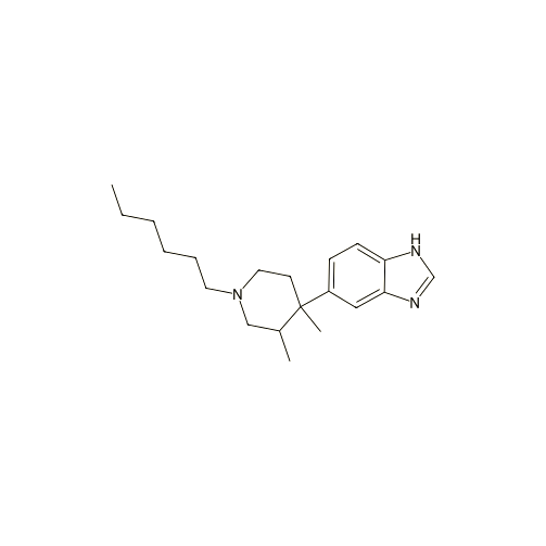 CCCCCCN1CCC(C)(c2ccc3[nH]cnc3c2)C(C)C1